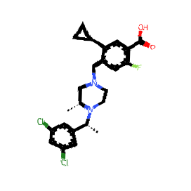 C[C@@H]1CN(Cc2cc(F)c(C(=O)O)cc2C2CC2)CCN1[C@H](C)c1cc(Cl)cc(Cl)c1